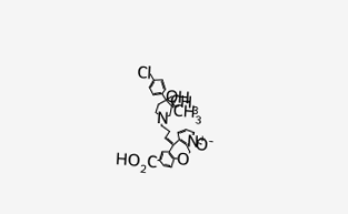 CC1(C)CN(CCC=C2c3cc(C(=O)O)ccc3OCc3c2ccc[n+]3[O-])CCC1(O)c1ccc(Cl)cc1